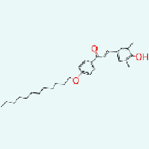 CCCCCCCCCCCCOc1ccc(C(=O)/C=C/c2cc(C)c(O)c(C)c2)cc1